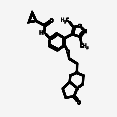 Cc1noc(C)c1-c1cc(NC(=O)C2CC2)ccc1OCCN1CCN2C(=O)CCC2C1